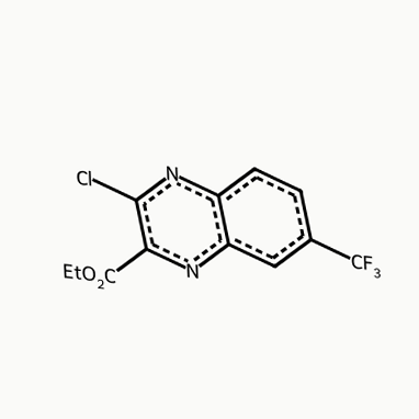 CCOC(=O)c1nc2cc(C(F)(F)F)ccc2nc1Cl